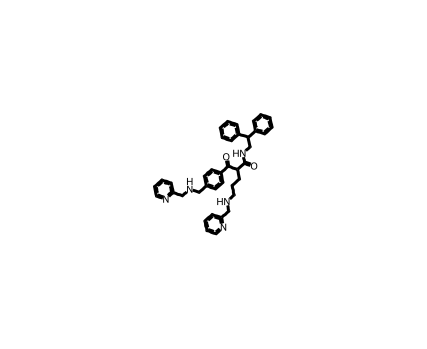 O=C(NCC(c1ccccc1)c1ccccc1)C(CCCNCc1ccccn1)C(=O)c1ccc(CNCc2ccccn2)cc1